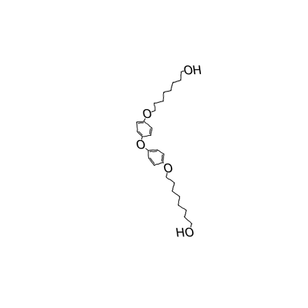 OCCCCCCCCOc1ccc(Oc2ccc(OCCCCCCCCO)cc2)cc1